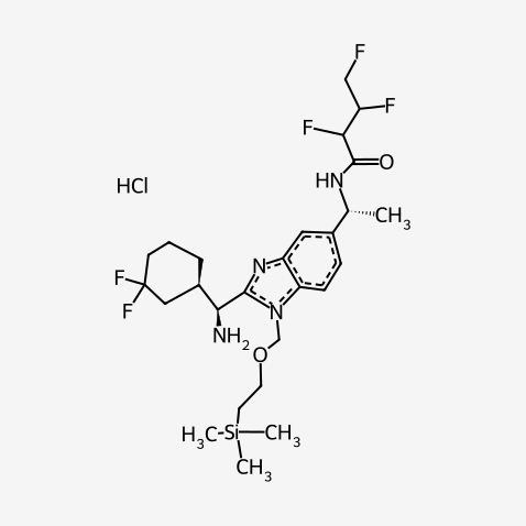 C[C@@H](NC(=O)C(F)C(F)CF)c1ccc2c(c1)nc([C@@H](N)[C@@H]1CCCC(F)(F)C1)n2COCC[Si](C)(C)C.Cl